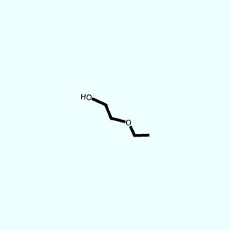 CCOC[CH]O